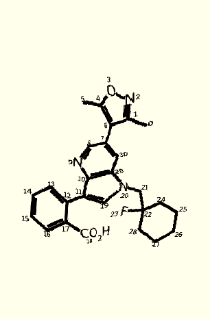 Cc1noc(C)c1-c1cnc2c(-c3ccccc3C(=O)O)cn(CC3(F)CCCCC3)c2c1